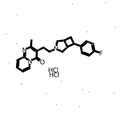 Cc1nc2ccccn2c(=O)c1CCN1CC2CC(c3ccc(F)cc3)C2C1.Cl.Cl